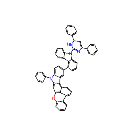 C1=C(c2ccccc2)N=C(n2c3ccccc3c3c(-c4ccc5c(c4)c4c6cccc7c6c(cc4n5-c4ccccc4)Oc4ccccc4-7)cccc32)NC1c1ccccc1